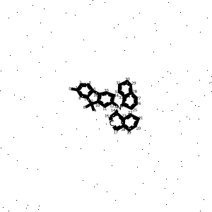 Cc1ccc2c(c1)C(C)(C)c1cc(N(c3cccc4ccccc34)c3cccc4ccccc34)ccc1-2